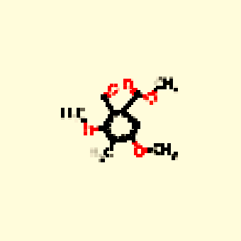 COC(=O)c1cc(OC)c(C)c(OC)c1C=O